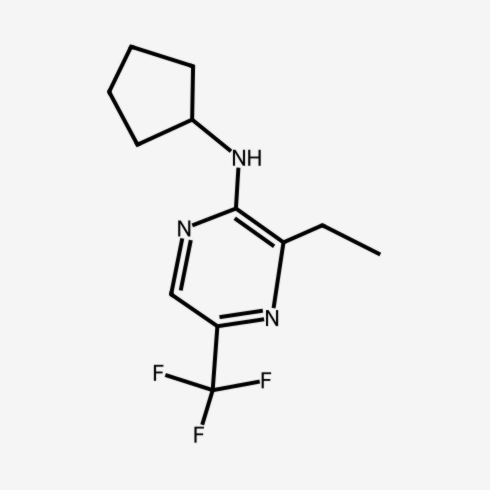 CCc1nc(C(F)(F)F)cnc1NC1CCCC1